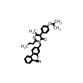 CCCc1nc(C)c(-c2ccc(OC(C)C)cc2)c(=O)n1Cc1ccc(-c2ccccc2C#N)c(F)c1